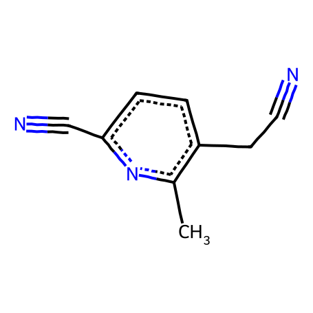 Cc1nc(C#N)ccc1CC#N